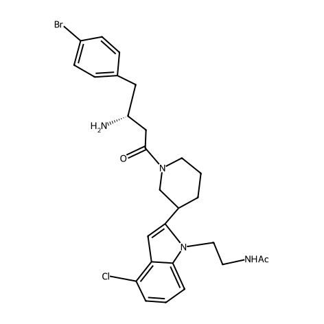 CC(=O)NCCn1c(C2CCCN(C(=O)C[C@H](N)Cc3ccc(Br)cc3)C2)cc2c(Cl)cccc21